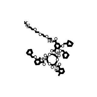 Cc1cccc(C(=O)N[C@H]2COC(=O)[C@@H](NC(=O)c3cc(C(=O)NCCOCCOCCOCCN=[N+]=[N-])cc(OCc4ccccc4)c3OCc3ccccc3)COC(=O)[C@@H](NC(=O)c3cccc(OCc4ccccc4)c3C)COC2=O)c1C